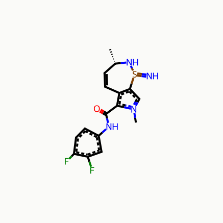 C[C@H]1C=Cc2c(cn(C)c2C(=O)Nc2ccc(F)c(F)c2)S(=N)N1